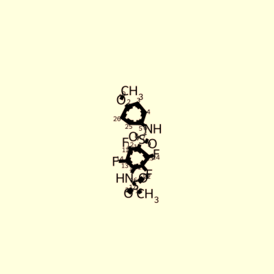 COc1ccc(NS(=O)(=O)c2c(F)c(F)c(NS(C)(=O)=O)c(F)c2F)cc1